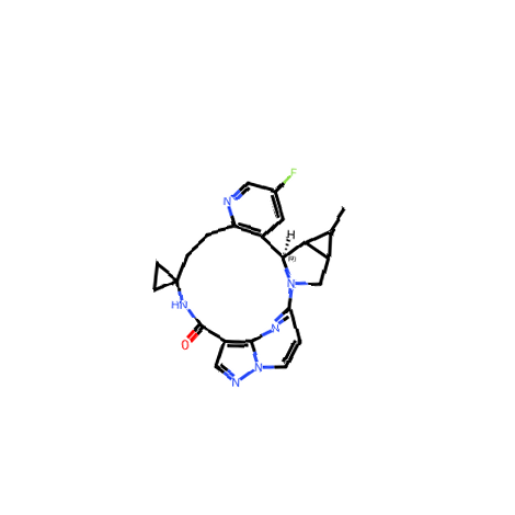 CC1C2CN3c4ccn5ncc(c5n4)C(=O)NC4(CCc5ncc(F)cc5[C@H]3C12)CC4